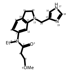 CCN(C(=O)CCOC)c1ccc2c(c1)N(Cc1c[nH]cn1)CC2